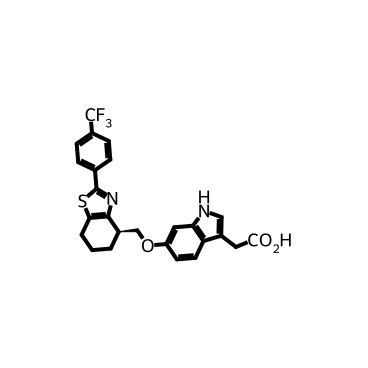 O=C(O)Cc1c[nH]c2cc(OC[C@H]3CCCc4sc(-c5ccc(C(F)(F)F)cc5)nc43)ccc12